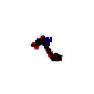 COC(=O)c1ccc2c(c1)C[C@]1(C2)C(=O)Nc2ncc(/C=C/COCCOCCN(C)C(=O)OC(C)(C)C)cc21